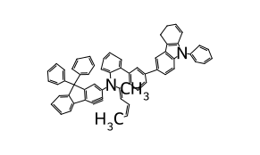 C/C=C\C=C(/C)N(c1c#cc2c(c1)C(c1ccccc1)(c1ccccc1)c1ccccc1-2)c1ccccc1-c1cccc(-c2ccc3c(c2)c2c(n3-c3ccccc3)C=CCC2)c1